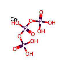 O=P(O)(O)OP(=O)(O)OP(=O)(O)O.[Co]